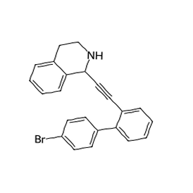 Brc1ccc(-c2ccccc2C#CC2NCCc3ccccc32)cc1